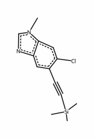 Cn1cnc2cc(C#C[Si](C)(C)C)c(Cl)cc21